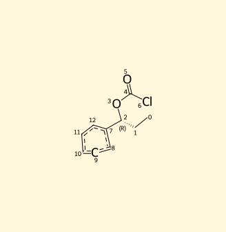 CC[C@@H](OC(=O)Cl)c1ccccc1